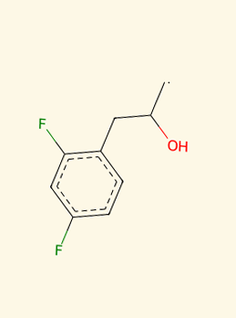 [CH2]C(O)Cc1ccc(F)cc1F